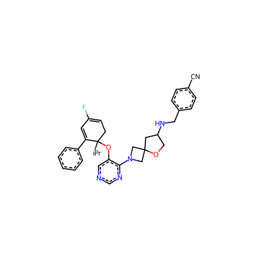 CC(C)C1(Oc2cncnc2N2CC3(CC(NCc4ccc(C#N)cc4)CO3)C2)CC=C(F)C=C1c1ccccc1